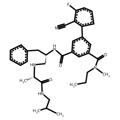 CCCN(C)C(=O)c1cc(C(=O)N[C@H](CN[C@@H](C)C(=O)NCC(C)C)Cc2ccccc2)cc(-c2cccc(F)c2C#N)c1